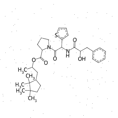 CC(CC1CCC(C)(C)C1(C)C)OC(=O)C1CCCN1C(=O)C(NC(=O)C(O)Cc1ccccc1)c1cccs1